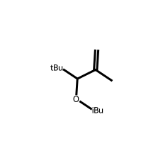 C=C(C)C(OC(C)CC)C(C)(C)C